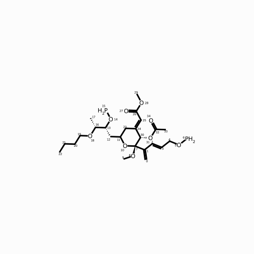 C=C(/C=C/COP)[C@]1(OC)OC(C[C@@H](OP)[C@@H](C)OCCCC)C/C(=C\C(=O)OC)[C@@H]1OC(C)=O